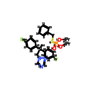 CC(C)OP(=O)(OC(C)C)SCc1ccccc1.C[Si](Cn1cncn1)(c1ccc(F)cc1)c1ccc(F)cc1